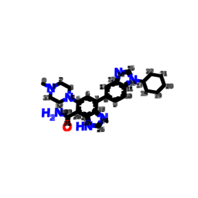 CN1CCN(c2cc(-c3ccc4c(c3)ncn4C3CCCCC3)c3nc[nH]c3c2C(N)=O)CC1